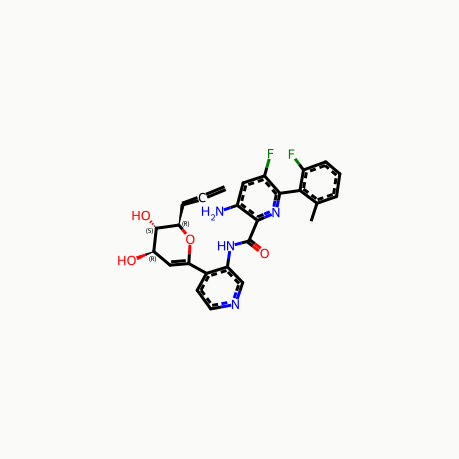 C=C=C[C@H]1OC(c2ccncc2NC(=O)c2nc(-c3c(C)cccc3F)c(F)cc2N)=C[C@@H](O)[C@@H]1O